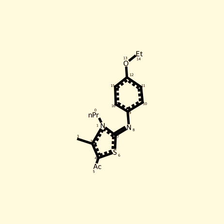 CCCn1c(C)c(C(C)=O)sc1=Nc1ccc(OCC)cc1